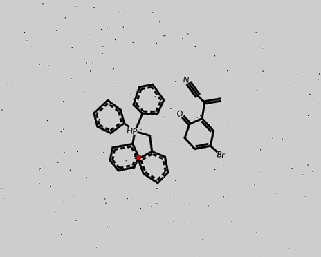 C=C(C#N)C1=CC(Br)=CCC1=O.c1ccc(C[PH](c2ccccc2)(c2ccccc2)c2ccccc2)cc1